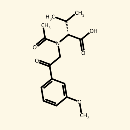 COc1cccc(C(=O)CN(C(C)=O)[C@@H](C(=O)O)C(C)C)c1